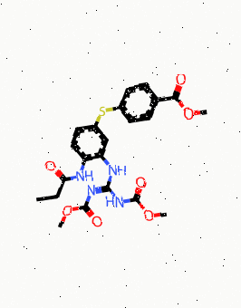 CCC(=O)Nc1ccc(Sc2ccc(C(=O)OC)cc2)cc1NC(=NC(=O)OC)NC(=O)OC